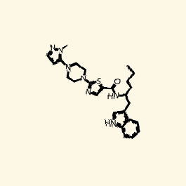 CCCCC(Cc1c[nH]c2ccccc12)NC(=O)c1cnc(N2CCN(c3ccnn3C)CC2)s1